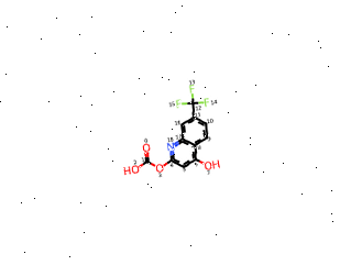 O=C(O)Oc1cc(O)c2ccc(C(F)(F)F)cc2n1